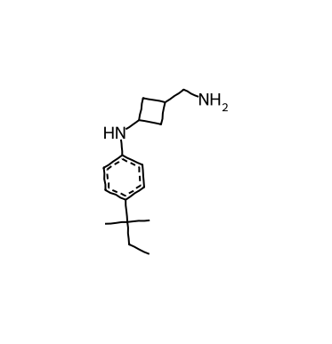 CCC(C)(C)c1ccc(NC2CC(CN)C2)cc1